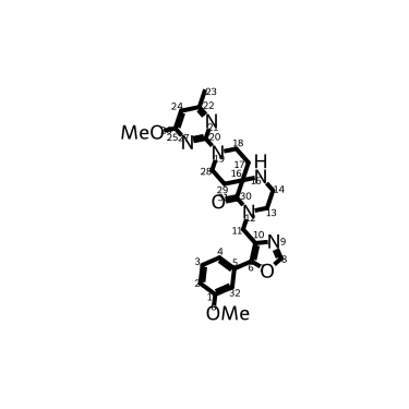 COc1cccc(-c2ocnc2CN2CCNC3(CCN(c4nc(C)cc(OC)n4)CC3)C2=O)c1